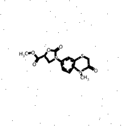 COC(=O)C1CN(c2ccc3c(c2)SCC(=O)N3C)C(=O)O1